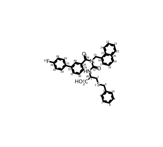 O=C(O)[C@H](CSCc1ccccc1)NC(=O)N(Cc1cccc2ccccc12)C(=O)c1cccc(-c2ccc(F)cc2)c1